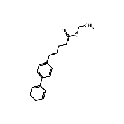 CCOC(=O)CCCCc1ccc(C2=CCCC=C2)cc1